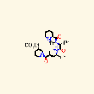 CCOC(=O)C1CCCN(C(=O)/C(C)=C/[C@H](C(C)C)N(C)C(=O)[C@@H](NC(=O)C2CCCCN2C(C)C)C(C)C)C1